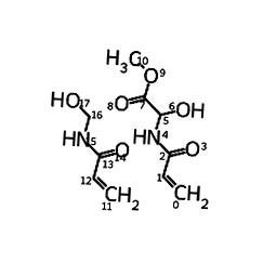 C=CC(=O)NC(O)C(=O)OC.C=CC(=O)NCO